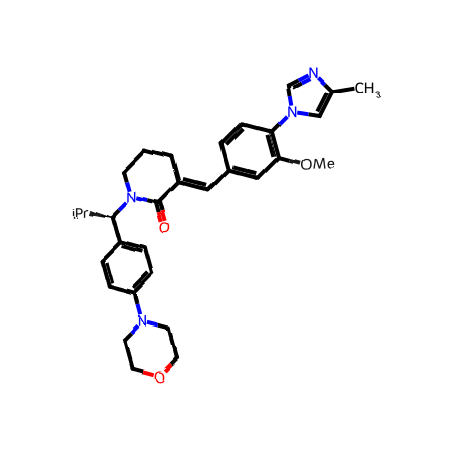 COc1cc(/C=C2\CCCN([C@@H](c3ccc(N4CCOCC4)cc3)C(C)C)C2=O)ccc1-n1cnc(C)c1